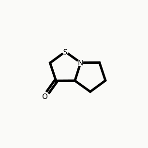 O=C1CSN2CCCC12